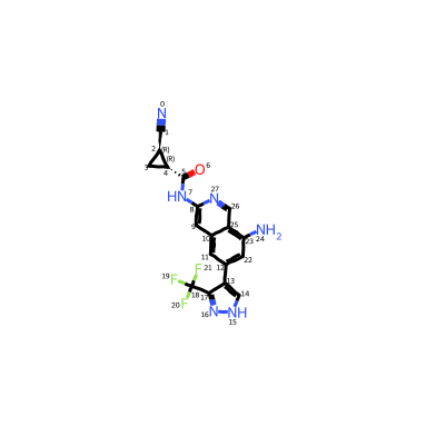 N#C[C@@H]1C[C@H]1C(=O)Nc1cc2cc(-c3c[nH]nc3C(F)(F)F)cc(N)c2cn1